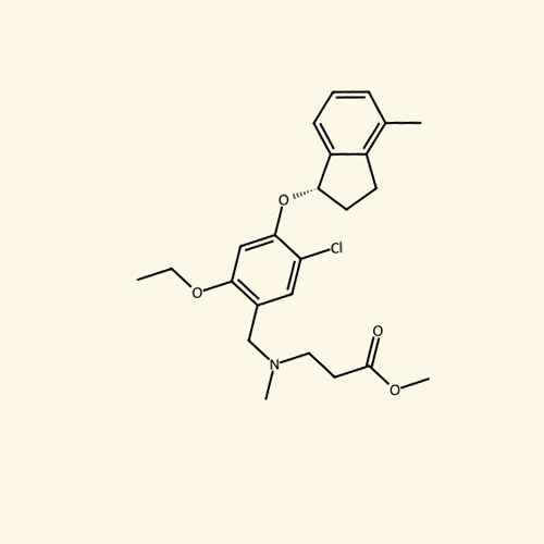 CCOc1cc(O[C@H]2CCc3c(C)cccc32)c(Cl)cc1CN(C)CCC(=O)OC